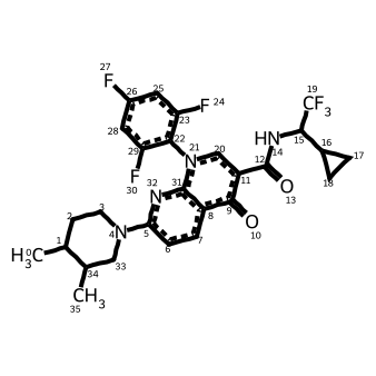 CC1CCN(c2ccc3c(=O)c(C(=O)NC(C4CC4)C(F)(F)F)cn(-c4c(F)cc(F)cc4F)c3n2)CC1C